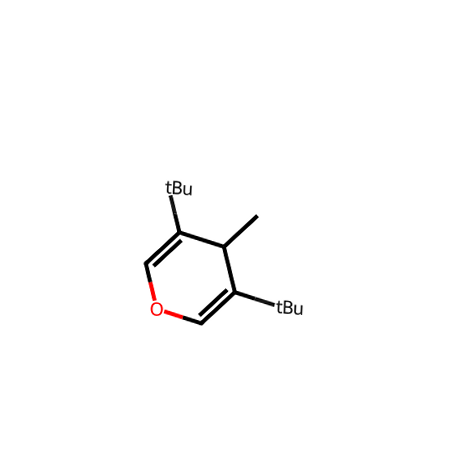 CC1C(C(C)(C)C)=COC=C1C(C)(C)C